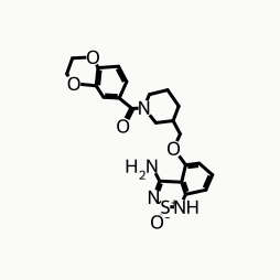 NC1=N[S+]([O-])Nc2cccc(OCC3CCCN(C(=O)c4ccc5c(c4)OCCO5)C3)c21